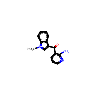 CCOC(=O)n1cc(C(=O)c2cccnc2N)c2ccccc21